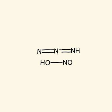 O=NO.[N-]=[N+]=N